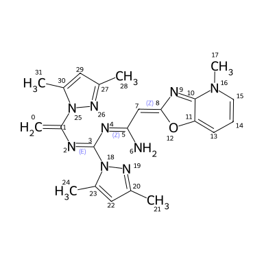 C=C(\N=C(/N=C(N)/C=c1/nc2c(o1)=CC=CN2C)n1nc(C)cc1C)n1nc(C)cc1C